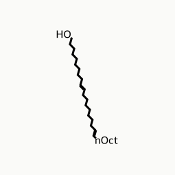 CCCCCCCC/C=C/CCCCCCC/C=C/CCCCCCCCCO